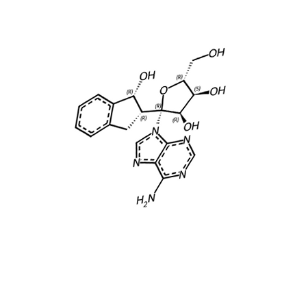 Nc1ncnc2c1ncn2[C@]1([C@@H]2Cc3ccccc3[C@@H]2O)O[C@H](CO)[C@@H](O)[C@H]1O